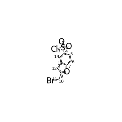 O=S(=O)(Cl)c1ccc2oc(CBr)cc2c1